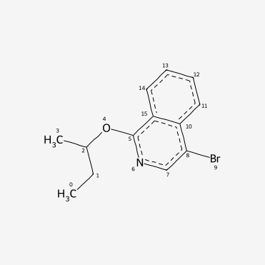 CCC(C)Oc1ncc(Br)c2ccccc12